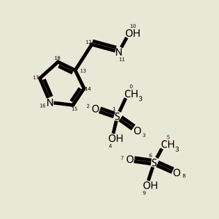 CS(=O)(=O)O.CS(=O)(=O)O.ON=Cc1ccncc1